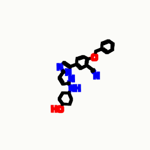 N#Cc1cc(-c2cnc3ccc(NC4CCC(O)CC4)nn23)ccc1OCc1ccccc1